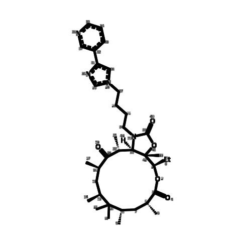 CC[C@H]1OC(=O)[C@H](C)C[C@H](C)C(C)(C)[C@@H](C)C[C@@H](C)C(=O)[C@H](C)[C@H]2N(CCCCn3cnc(-c4cccnc4)c3)C(=O)O[C@]12C